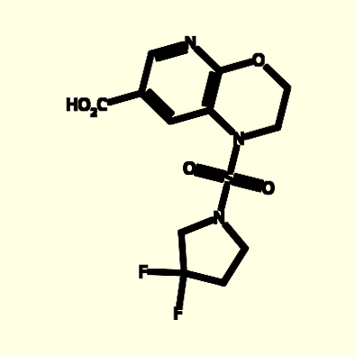 O=C(O)c1cnc2c(c1)N(S(=O)(=O)N1CCC(F)(F)C1)CCO2